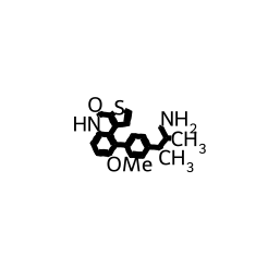 COc1ccc2[nH]c(=O)c3sccc3c2c1-c1ccc(C(C)C(C)CN)cc1